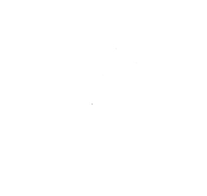 C[C@H](c1ccccc1)n1cncc1C(=O)OC1(C(=O)O)CC1